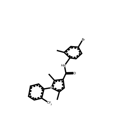 Cc1cc(Br)ccc1NC(=O)c1cc(C)n(-c2ccccc2C(F)(F)F)c1C